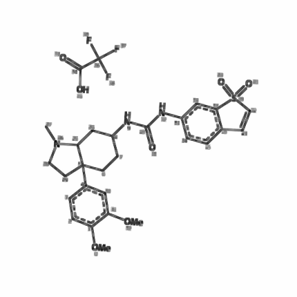 COc1ccc(C23CCC(NC(=O)Nc4ccc5c(c4)S(=O)(=O)C=C5)CC2N(C)CC3)cc1OC.O=C(O)C(F)(F)F